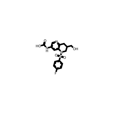 O=C(O)Nc1cnc2c(c1)N(S(=O)(=O)c1ccc(F)cc1)CC(CO)C2